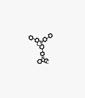 c1ccc(-c2ccc(N3c4ccc(-c5ccccc5)cc4Cc4cc(-c5ccc(-n6c7ccccc7c7ccccc76)cc5)ccc43)cc2)cc1